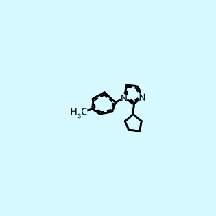 Cc1ccc(-n2ccnc2C2CCCC2)cc1